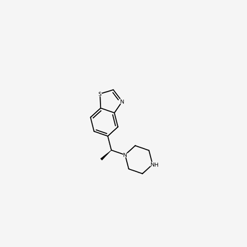 C[C@@H](c1ccc2scnc2c1)N1CCNCC1